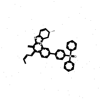 C=c1/c(=C\C=C/C)c2ccc(-c3ccc(P(=O)(c4ccccc4)c4ccccc4)cc3)cc2n2c3c(nc12)C=C[C@H](C)C3